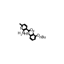 CCCCOc1cccc(NC(=O)c2ccc(C)nc2N)c1F